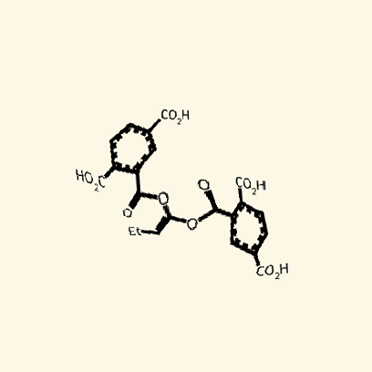 CCC=C(OC(=O)c1cc(C(=O)O)ccc1C(=O)O)OC(=O)c1cc(C(=O)O)ccc1C(=O)O